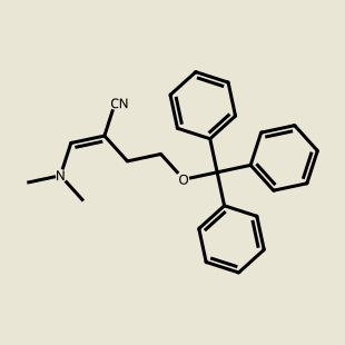 CN(C)/C=C(/C#N)CCOC(c1ccccc1)(c1ccccc1)c1ccccc1